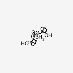 BP(=O)(OC[C@H]1OCCC1O)OC1CCO[C@@H]1CO